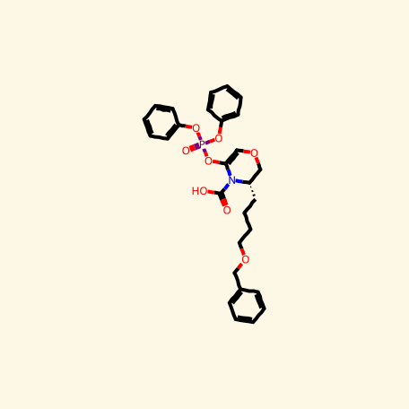 O=C(O)N1C(OP(=O)(Oc2ccccc2)Oc2ccccc2)=COC[C@@H]1CCCCOCc1ccccc1